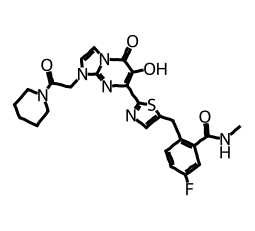 CNC(=O)c1cc(F)ccc1Cc1cnc(-c2nc3n(CC(=O)N4CCCCC4)ccn3c(=O)c2O)s1